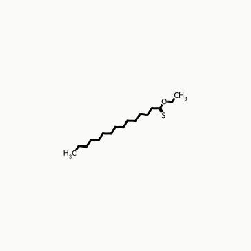 CCCCCCCCCCCCCCC(=S)OCC